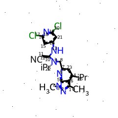 Cc1nn(C)c2nc(CN(/C(=C\C#N)Nc3cc(Cl)nc(Cl)c3)C(C)C)cc(C(C)C)c12